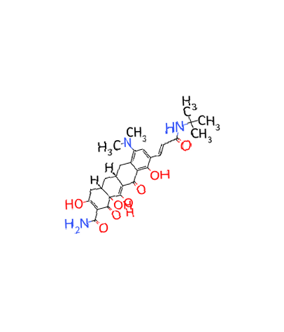 CN(C)c1cc(/C=C/C(=O)NC(C)(C)C)c(O)c2c1C[C@H]1C[C@H]3CC(O)=C(C(N)=O)C(=O)[C@@]3(O)C(O)=C1C2=O